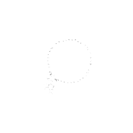 Cc1c(N2C(=O)N(C)C3(CCCCCCCCCCCCCCCCCCCCCCCCCCCCCCCCCCCCCCCOC3)C2=O)ccc(C#N)c1Cl